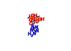 CC(C)P(=O)(O)O[C@H]1O[C@@H](n2cnc3c(N)ncnc32)C[C@@H]1OP(=O)(O)C(C)C